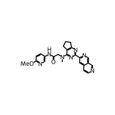 COc1ccc(NC(=O)CN(C)c2nc(-c3cc4ccncc4cn3)nc3c2CCC3)cn1